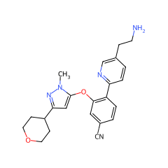 Cn1nc(C2CCOCC2)cc1Oc1cc(C#N)ccc1-c1ccc(CCN)cn1